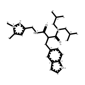 Cc1cc(CNC(=O)C(Cc2ccc3occc3c2)C(=O)N(CC(C)C)CC(C)C)nn1C